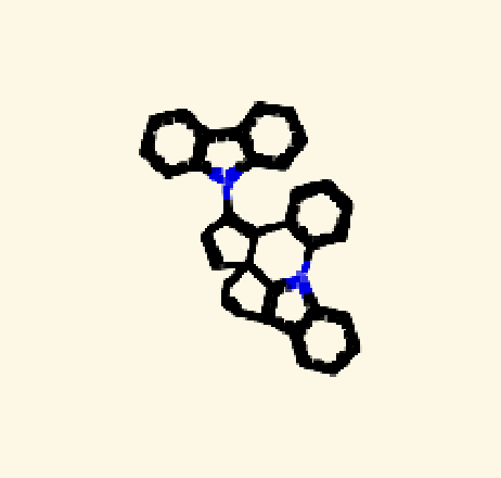 C1=Cc2c3n(c4ccccc24)-c2ccccc2C2=C(n4c5ccccc5c5ccccc54)C=CC23C1